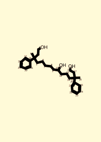 CC(CCO)(CCCCCC(O)CCCC(C)(CCO)c1ccccc1)c1ccccc1